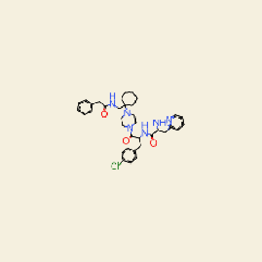 NC(Cc1ccccn1)C(=O)NC(Cc1ccc(Cl)cc1)C(=O)N1CCN(C2(CNC(=O)Cc3ccccc3)CCCCC2)CC1